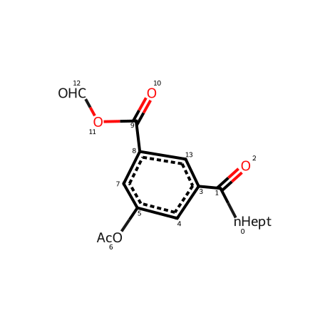 CCCCCCCC(=O)c1cc(OC(C)=O)cc(C(=O)OC=O)c1